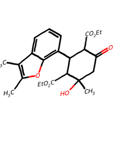 CCOC(=O)C1C(=O)CC(C)(O)C(C(=O)OCC)C1c1cccc2c(C)c(C)oc12